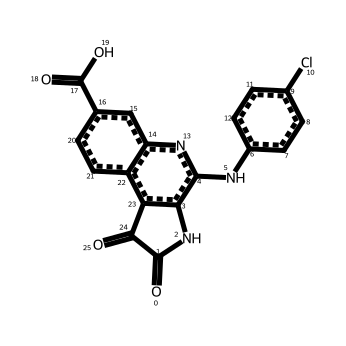 O=C1Nc2c(Nc3ccc(Cl)cc3)nc3cc(C(=O)O)ccc3c2C1=O